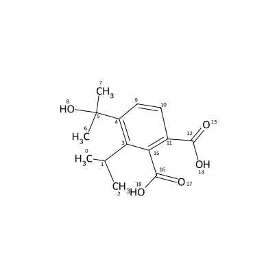 CC(C)c1c(C(C)(C)O)ccc(C(=O)O)c1C(=O)O